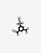 O=C([O-])c1cc(C(=O)[O-])cc(S(=O)(=O)[O-])c1.[Li+].[Li+].[Li+]